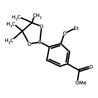 CCOc1cc(C(=O)OC)ccc1B1OC(C)(C)C(C)(C)O1